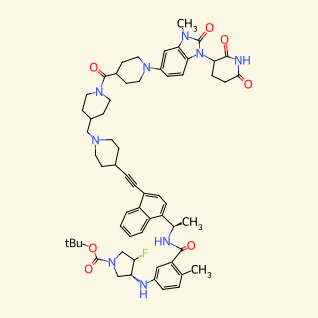 Cc1ccc(N[C@H]2CN(C(=O)OC(C)(C)C)C[C@H]2F)cc1C(=O)N[C@H](C)c1ccc(C#CC2CCN(CC3CCN(C(=O)C4CCN(c5ccc6c(c5)n(C)c(=O)n6C5CCC(=O)NC5=O)CC4)CC3)CC2)c2ccccc12